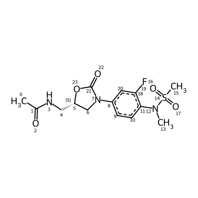 CC(=O)NC[C@H]1CN(c2ccc(N(C)S(C)(=O)=O)c(F)c2)C(=O)O1